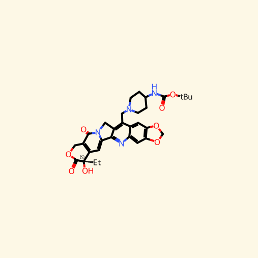 CC[C@@]1(O)C(=O)OCc2c1cc1n(c2=O)Cc2c-1nc1cc3c(cc1c2CN1CCC(NC(=O)OC(C)(C)C)CC1)OCO3